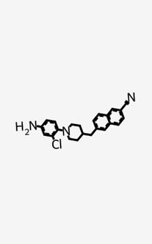 N#Cc1ccc2cc(CC3CCN(c4ccc(N)cc4Cl)CC3)ccc2c1